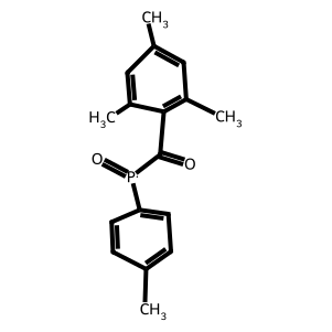 Cc1ccc([P](=O)C(=O)c2c(C)cc(C)cc2C)cc1